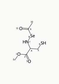 COC(=O)C(CS)N[Se]C(C)=O